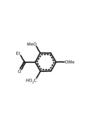 CCC(=O)c1c(OC)cc(OC)cc1C(=O)O